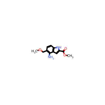 COCc1ccc2[nH]c(C(=O)OC)cc2c1N